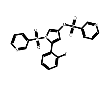 O=S(=O)(Oc1cc(-c2ccccc2F)n(S(=O)(=O)c2cccnc2)c1)c1cccnc1